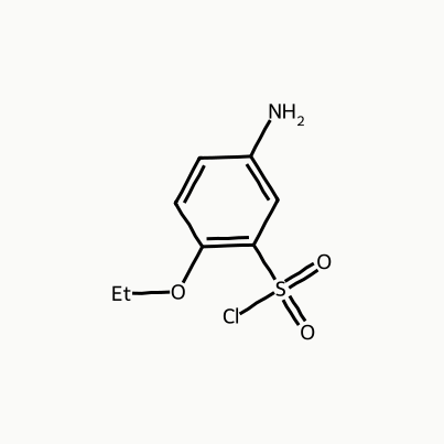 CCOc1ccc(N)cc1S(=O)(=O)Cl